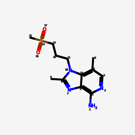 Cc1cnc(N)c2nc(C)n(CCCS(C)(=O)=O)c12